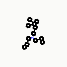 c1ccc(-c2c(-c3ccccc3)c3cc(-c4ccc(N(c5cccc(-c6ccc7ccccc7c6)c5)c5cccc(-c6cccc7ccccc67)c5)cc4)ccc3c3ccccc23)cc1